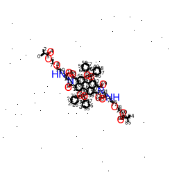 C=C(C)C(=O)OCCOCCNC(=O)CN1C(=O)c2cc(Oc3ccccc3)c3c4c(Oc5ccccc5)cc5c6c(cc(Oc7ccccc7)c(c7c(Oc8ccccc8)cc(c2c37)C1=O)c64)C(=O)N(CC(=O)NCCOCCOC(=O)C(=C)C)C5=O